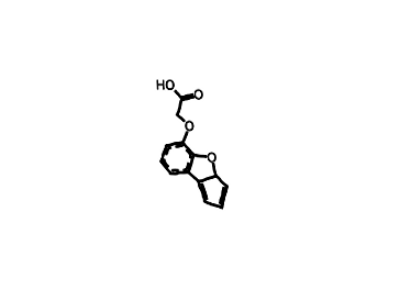 O=C(O)COc1cccc2c1OC1C=CC=C21